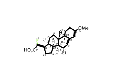 CC[C@H]1C=C2C=C(OC)CC[C@]2(C)[C@H]2CC[C@]3(C)C(=C(F)C(=O)O)CC[C@H]3[C@H]12